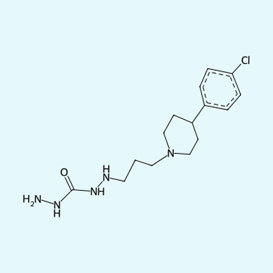 NNC(=O)NNCCCN1CCC(c2ccc(Cl)cc2)CC1